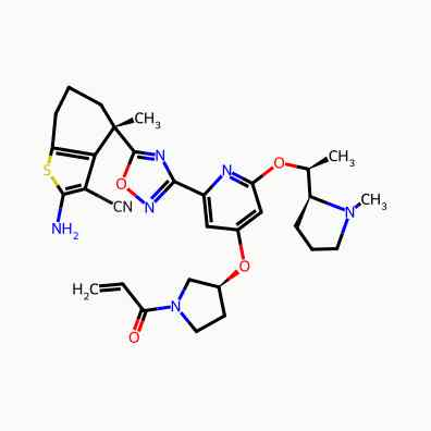 C=CC(=O)N1CC[C@H](Oc2cc(O[C@@H](C)[C@@H]3CCCN3C)nc(-c3noc([C@@]4(C)CCCc5sc(N)c(C#N)c54)n3)c2)C1